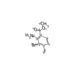 COC(=O)c1ccc(F)c(Br)c1N